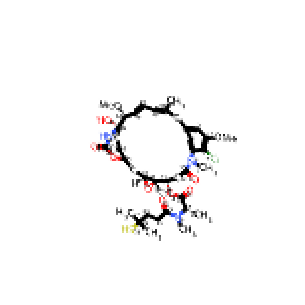 COc1cc2cc(c1Cl)N(C)C(=O)C[C@H](OC(=O)[C@H](C)N(C)C(=O)CCC(C)(C)S)[C@]1(C)O[C@H]1CC1OC(=O)N[C@](O)(CC1C)[C@H](OC)/C=C/C=C(\C)C2